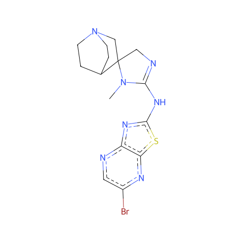 CN1C(Nc2nc3ncc(Br)nc3s2)=NCC12CN1CCC2CC1